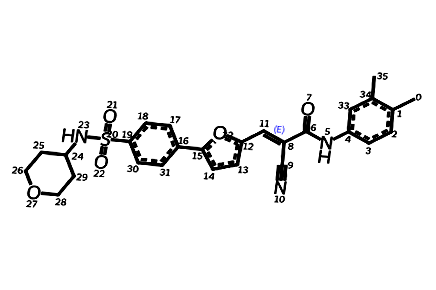 Cc1ccc(NC(=O)/C(C#N)=C/c2ccc(-c3ccc(S(=O)(=O)NC4CCOCC4)cc3)o2)cc1C